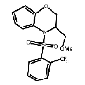 COCC1COc2ccccc2N1S(=O)(=O)c1ccccc1C(F)(F)F